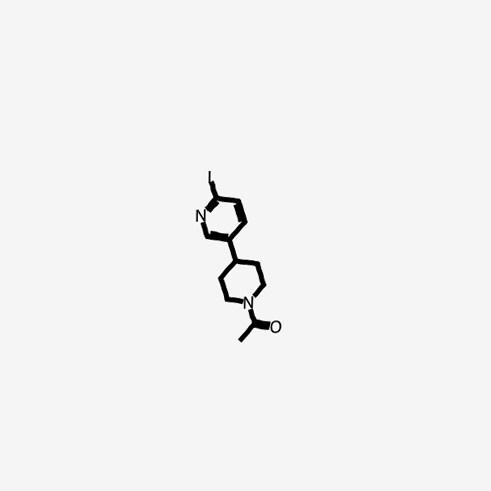 CC(=O)N1CCC(c2ccc(I)nc2)CC1